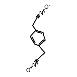 [O-][N+]#CCc1ccc(CC#[N+][O-])cc1